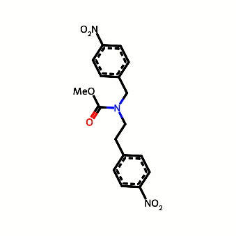 COC(=O)N(CCc1ccc([N+](=O)[O-])cc1)Cc1ccc([N+](=O)[O-])cc1